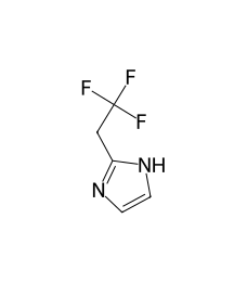 FC(F)(F)Cc1ncc[nH]1